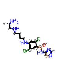 C[C@H](N)CNCCCCNc1cc(F)c([S+]([O-])Nc2ncns2)cc1Br